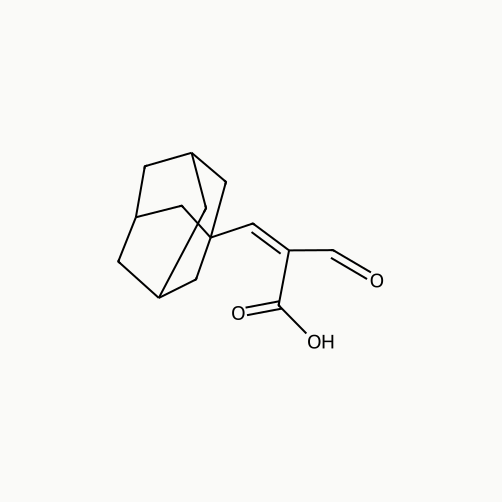 O=CC(=CC12CC3CC(CC(C3)C1)C2)C(=O)O